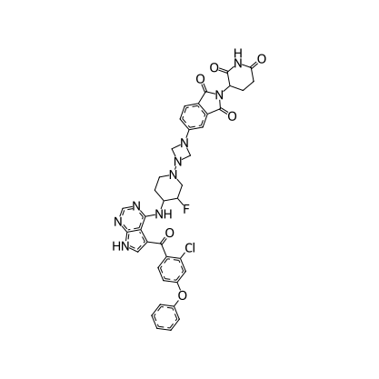 O=C1CCC(N2C(=O)c3ccc(N4CN(N5CCC(Nc6ncnc7[nH]cc(C(=O)c8ccc(Oc9ccccc9)cc8Cl)c67)C(F)C5)C4)cc3C2=O)C(=O)N1